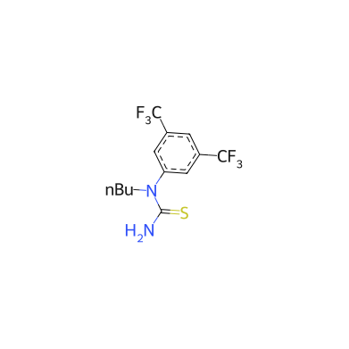 CCCCN(C(N)=S)c1cc(C(F)(F)F)cc(C(F)(F)F)c1